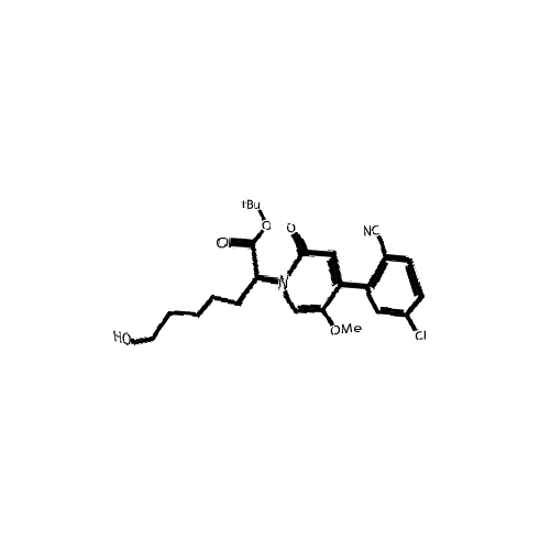 COc1cn(C(CCCCCO)C(=O)OC(C)(C)C)c(=O)cc1-c1cc(Cl)ccc1C#N